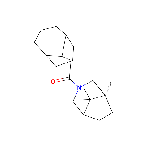 CC1(C)C2CC[C@]1(C)CN(C(=O)CC1C3CCCC1CCC3)C2